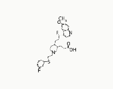 COc1ccc2nccc([C@@H](F)CCC3CCN(CCSc4cccc(F)c4)CC3CCC(=O)O)c2c1